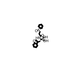 O=C(CC[S+]([O-])c1ccccc1)N[C@@H](Cc1coc2ccccc12)B(O)O